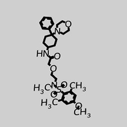 COc1cc(C)c(S(=O)(=O)N(C)CCOCC(=O)NC2CCC(c3ccccc3)(N3CCOCC3)CC2)c(C)c1